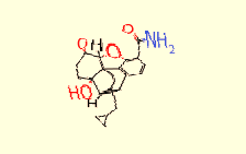 NC(=O)c1ccc2c3c1O[C@H]1C(=O)CC[C@@]4(O)[C@@H](C2)C(CC2CC2)CCC314